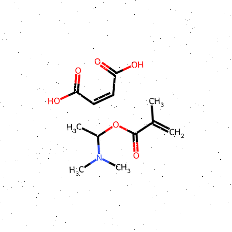 C=C(C)C(=O)OC(C)N(C)C.O=C(O)/C=C\C(=O)O